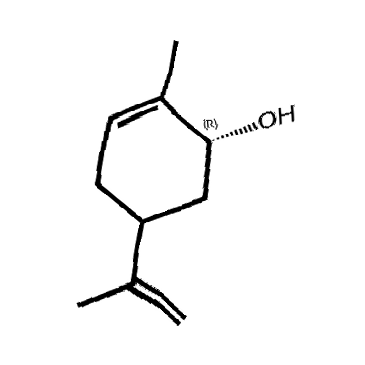 C=C(C)C1CC=C(C)[C@H](O)C1